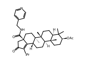 CC(=O)O[C@H]1CC[C@]2(C)[C@H]3CC[C@@H]4C5=C(C(C)C)C(=O)C[C@]5(C(=O)NCc5ccncc5)CC[C@@]4(C)[C@]3(C)CC[C@H]2C1(C)C